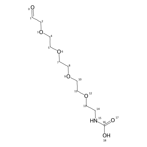 O=CCOCCOCCOCCOCCNC(=O)O